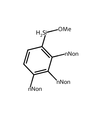 CCCCCCCCCc1ccc([SiH2]OC)c(CCCCCCCCC)c1CCCCCCCCC